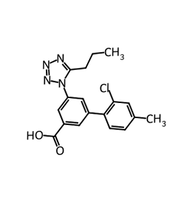 CCCc1nnnn1-c1cc(C(=O)O)cc(-c2ccc(C)cc2Cl)c1